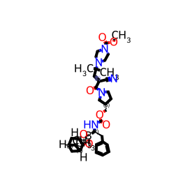 COC(=O)N1CCN(C(C)(C)/C=C(\C#N)C(=O)N2CC[C@H](COC(=O)N[C@@H](Cc3ccccc3)B3OC4[C@H]5C[C@@H](C[C@H]4O3)C5(C)C)C2)CC1